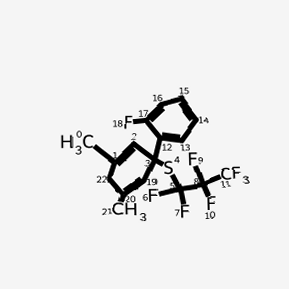 CC1=CC(SC(F)(F)C(F)(F)C(F)(F)F)(c2ccccc2F)C=C(C)[CH]1